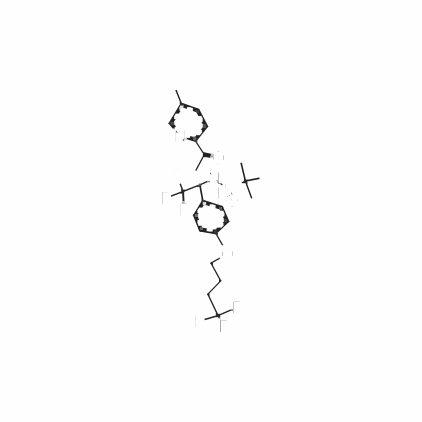 Cc1ccc(C(=O)C[C@](N[S@@+]([O-])C(C)(C)C)(c2ccc(OCCCC(F)(F)F)cc2)C(F)(F)F)nc1